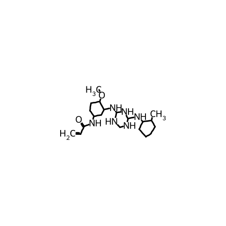 C=CC(=O)NC1CCC(OC)C(NC2NCNC(NC3CCCCC3C)N2)C1